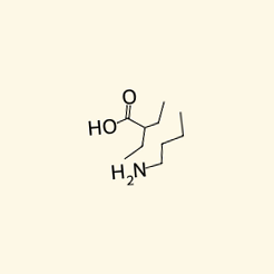 CCC(CC)C(=O)O.CCCCN